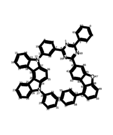 c1ccc(-c2nc(-c3cccc(-n4c5ccccc5c5c6c7ccccc7n(-c7ccccc7)c6ccc54)c3)nc(-c3ccc4c(c3)oc3cccc(-c5ccccc5)c34)n2)cc1